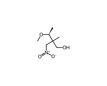 CO[C@@H](C)C(C)(CO)C[N+](=O)[O-]